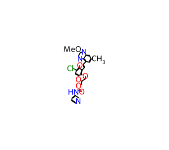 COc1cnc2c(-c3cc4c5c(cc(Cl)c4o3)OC(COC(=O)Nc3cccnc3)CO5)cc(C)cc2n1